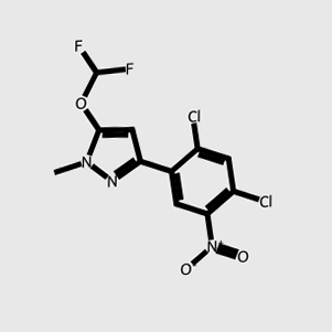 Cn1nc(-c2cc([N+](=O)[O-])c(Cl)cc2Cl)cc1OC(F)F